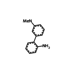 CNc1cccc(-c2ccccc2N)c1